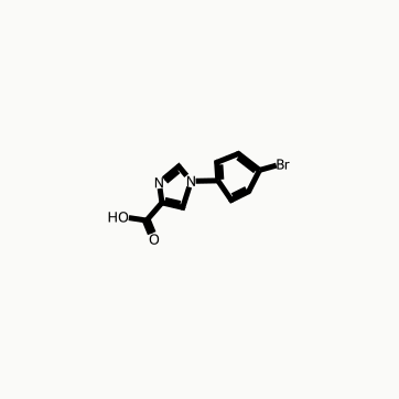 O=C(O)c1cn(-c2ccc(Br)cc2)cn1